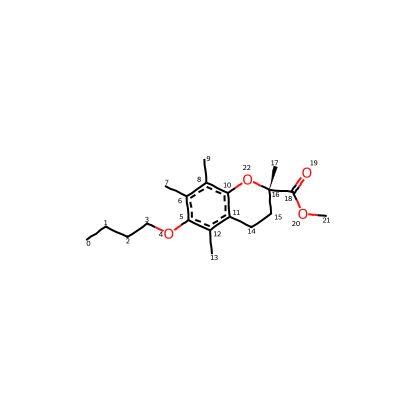 CCCCOc1c(C)c(C)c2c(c1C)CC[C@@](C)(C(=O)OC)O2